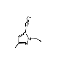 [C-]#[N+]c1cc(C)nn1CC